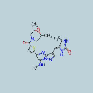 C=c1[nH]c(=O)[nH]/c1=C\c1cnn2c(NC3CC3)cc(-c3ccc(C(=O)N4CC(C)OC(C)C4)s3)nc12